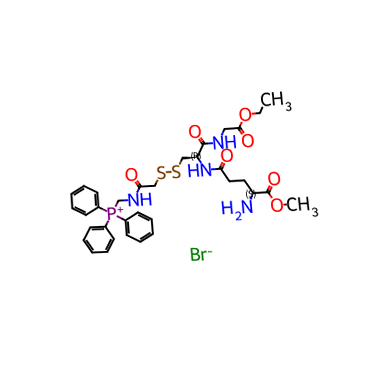 CCOC(=O)CNC(=O)[C@H](CSSCC(=O)NC[P+](c1ccccc1)(c1ccccc1)c1ccccc1)NC(=O)CC[C@H](N)C(=O)OC.[Br-]